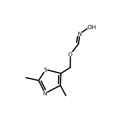 Cc1nc(C)c(COC=NO)s1